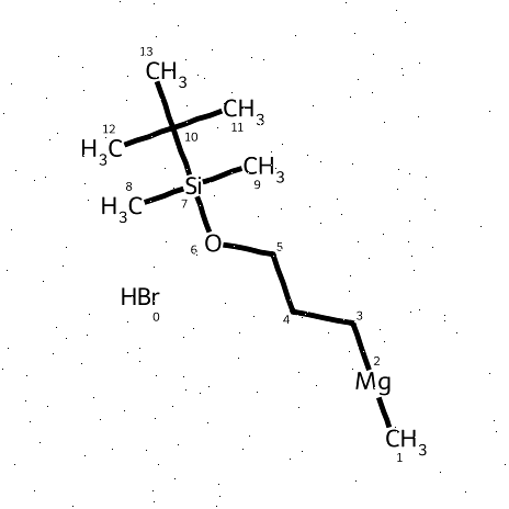 Br.[CH3][Mg][CH2]CCO[Si](C)(C)C(C)(C)C